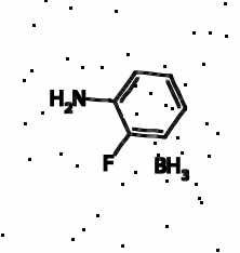 B.Nc1ccccc1F